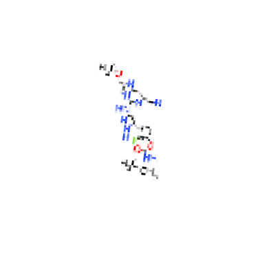 COCc1cn2c(Nc3cc([C@@H]4CC[C@H](OC(=O)NC(C)C)[C@H]4F)[nH]n3)nc(C#N)cc2n1